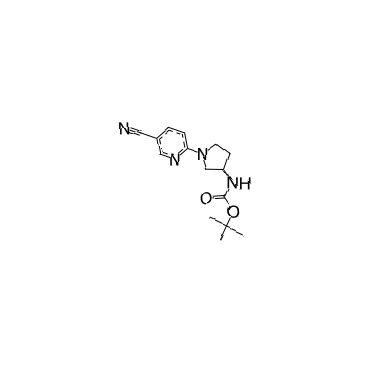 CC(C)(C)OC(=O)NC1CCN(c2ccc(C#N)cn2)C1